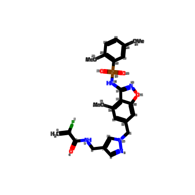 C=C(F)C(=O)NCc1cnn(Cc2cc(OC)c3c(NS(=O)(=O)c4cc(OC)ccc4OC)noc3c2)c1